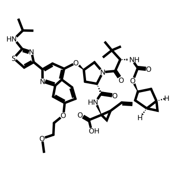 C=CC1C[C@]1(NC(=O)[C@@H]1C[C@@H](Oc2cc(-c3csc(NC(C)C)n3)nc3cc(OCCOC)ccc23)CN1C(=O)[C@@H](NC(=O)O[C@@H]1C[C@@H]2C[C@@H]2C1)C(C)(C)C)C(=O)O